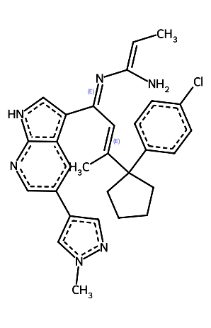 CC=C(N)/N=C(\C=C(/C)C1(c2ccc(Cl)cc2)CCCC1)c1c[nH]c2ncc(-c3cnn(C)c3)cc12